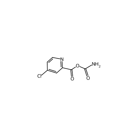 NC(=O)OC(=O)c1cc(Cl)ccn1